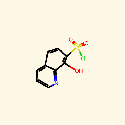 O=S(=O)(Cl)c1ccc2cccnc2c1O